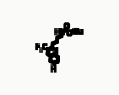 CC(C)(C)OC(=O)NCCCCc1nc2c(cc1C(F)(F)F)CNCC2